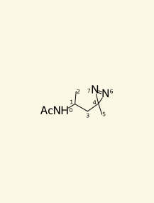 CC(=O)NC(C)CC1(C)N=N1